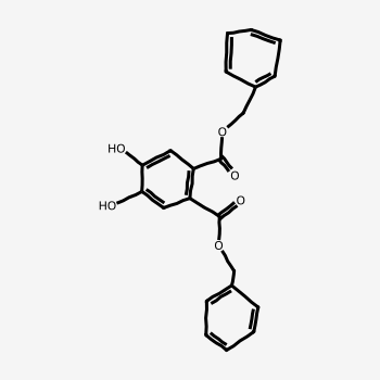 O=C(OCc1ccccc1)c1cc(O)c(O)cc1C(=O)OCc1ccccc1